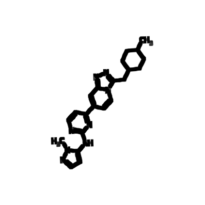 CC1CCC(Cc2nnc3cc(-c4ccnc(Nc5ccnn5C)n4)ccn23)CC1